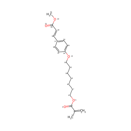 C=C(C)C(=O)OCCCCCCCOc1ccc(C=CC(=O)OC)cc1